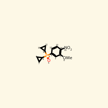 COc1cc(P(=O)(C2CC2)C2CC2)ccc1[N+](=O)[O-]